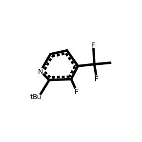 CC(C)(C)c1nccc(C(C)(F)F)c1F